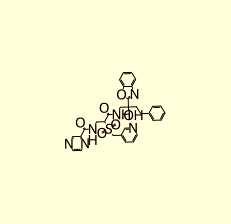 O=C(NCC(C(=O)NCC(O)(CCc1ccccc1)c1nc2ccccc2o1)S(=O)(=O)Cc1cccnc1)c1cnccn1